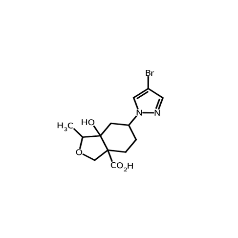 CC1OCC2(C(=O)O)CCC(n3cc(Br)cn3)CC12O